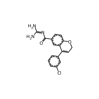 NC(N)=NC(=O)c1ccc2c(c1)C(c1cccc(Cl)c1)=CCO2